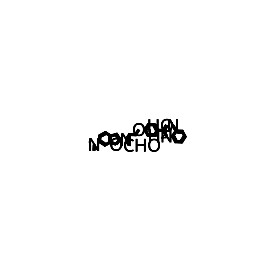 CN(C)c1ccc2cc(N(C=O)CCOc3ccc(C(=O)Nc4ccccc4N)cc3)oc2c1